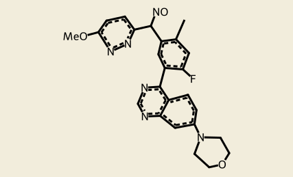 COc1ccc(C(N=O)c2cc(-c3ncnc4cc(N5CCOCC5)ccc34)c(F)cc2C)nn1